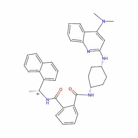 C[C@@H](NC(=O)c1ccccc1C(=O)N[C@H]1CC[C@@H](Nc2cc(N(C)C)c3ccccc3n2)CC1)c1cccc2ccccc12